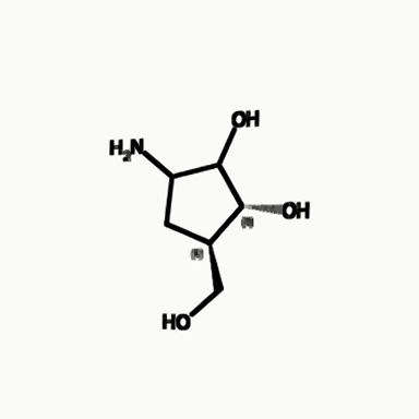 NC1C[C@H](CO)[C@@H](O)C1O